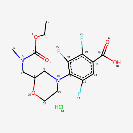 CCOC(=O)N(C)CC1CN(c2c(F)cc(C(=O)O)c(F)c2F)CCO1.Cl